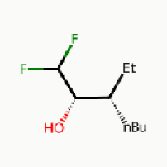 CCCC[C@@H](CC)[C@H](O)C(F)F